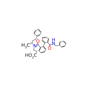 CC(CCc1ccccc1)N(CCC(=O)O)C(=O)c1ccccc1-c1ccccc1C(=O)NCc1ccccc1